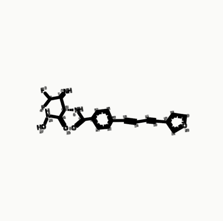 N=C(C(F)F)[C@H](NC(=O)c1ccc(C#CC#Cc2ccoc2)cc1)C(=O)NO